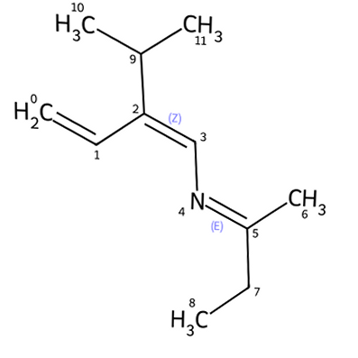 C=C/C(=C\N=C(/C)CC)C(C)C